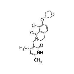 Cc1cc(C)c(CN2CCc3ccc(OC4CCOC4)c(Cl)c3C2=O)c(=O)[nH]1